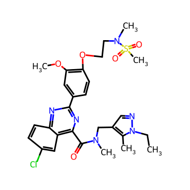 CCn1ncc(CN(C)C(=O)c2nc(-c3ccc(OCCN(C)S(C)(=O)=O)c(OC)c3)nc3ccc(Cl)cc23)c1C